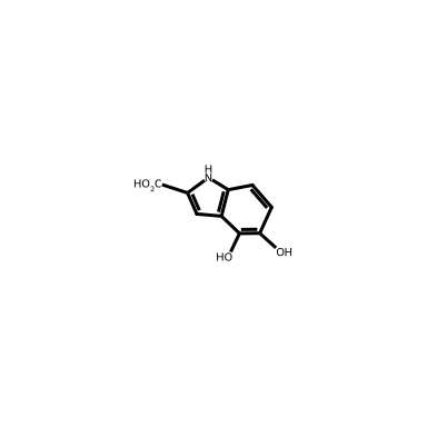 O=C(O)c1cc2c(O)c(O)ccc2[nH]1